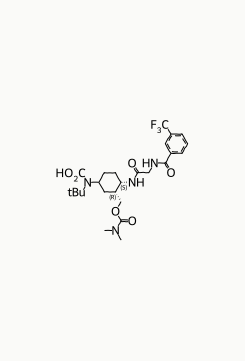 CN(C)C(=O)OC[C@@H]1CC(N(C(=O)O)C(C)(C)C)CC[C@@H]1NC(=O)CNC(=O)c1cccc(C(F)(F)F)c1